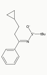 CC(C)(C)[S+]([O-])/N=C(\CCC1CC1)c1ccccc1